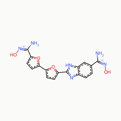 N/C(=N/O)c1ccc2nc(-c3ccc(-c4ccc(/C(N)=N\O)o4)o3)[nH]c2c1